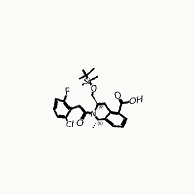 C[C@H]1c2cccc(C(=O)O)c2C[C@H](CO[Si](C)(C)C(C)(C)C)N1C(=O)Cc1c(F)cccc1Cl